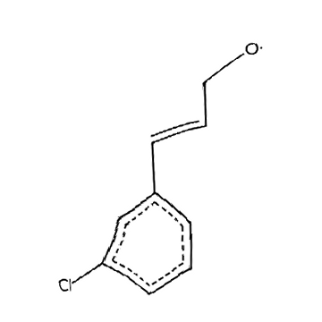 [O]C/C=C/c1cccc(Cl)c1